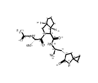 CC(C)(C)[C@H](NC(=O)C(F)(F)F)C(=O)N1C[C@@H]2CCC[C@@H]2C1C(=O)N[C@H](C#N)C[C@@H]1CC2(CC2)NC1=O